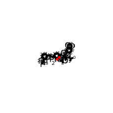 CC(C)C[C@H]1OC(C)(C)N(CN)[C@@]1(Cc1ccc(OCc2cccc(C(F)(F)F)c2)cc1)S(=O)(=O)c1ccc2c(c1)OCO2